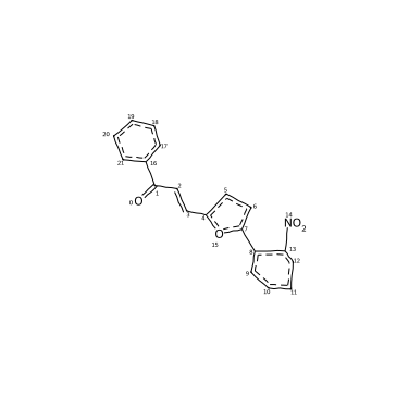 O=C(C=Cc1ccc(-c2ccccc2[N+](=O)[O-])o1)c1ccccc1